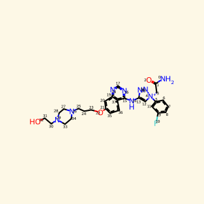 NC(=O)C[N+]1(c2cccc(F)c2)C=C(Nc2ncnc3cc(OCCCN4CCN(CCO)CC4)ccc23)N=N1